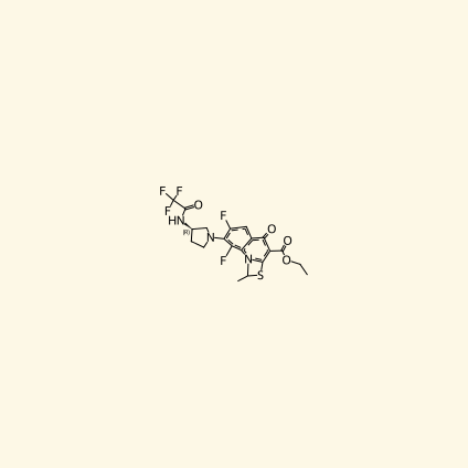 CCOC(=O)c1c2n(c3c(F)c(N4CC[C@@H](NC(=O)C(F)(F)F)C4)c(F)cc3c1=O)C(C)S2